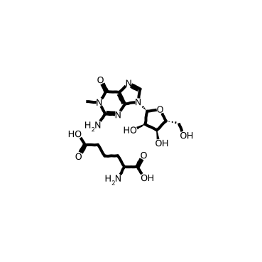 Cn1c(N)nc2c(ncn2[C@@H]2O[C@H](CO)[C@@H](O)[C@H]2O)c1=O.NC(CCCC(=O)O)C(=O)O